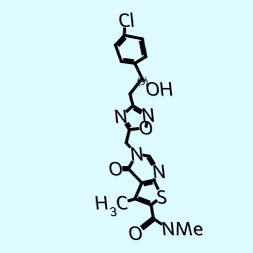 CNC(=O)c1sc2ncn(Cc3nc(C[C@H](O)c4ccc(Cl)cc4)no3)c(=O)c2c1C